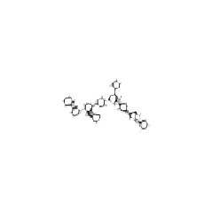 c1ccc(-c2cc(-c3ccc(-c4ccc(-c5cccc6c5oc5ccccc56)c5oc6ccccc6c45)cc3)nc(-c3ccc(-c4cnc(-c5ccccc5)nc4)cc3)n2)cc1